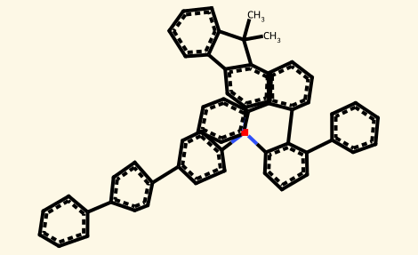 CC1(C)c2ccccc2-c2cc(N(c3ccc(-c4ccc(-c5ccccc5)cc4)cc3)c3cccc(-c4ccccc4)c3-c3ccccc3-c3ccccc3)ccc21